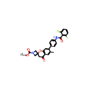 Cc1cc2c(cc1-c1ccc(NC(=O)c3c(F)cccc3F)cc1)OC1(CC2=O)CN(C(=O)OC(C)(C)C)C1